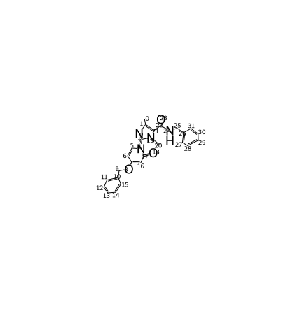 Cc1nc(-n2ccc(OCc3ccccc3)cc2=O)n(C)c1C(=O)NCc1ccccc1